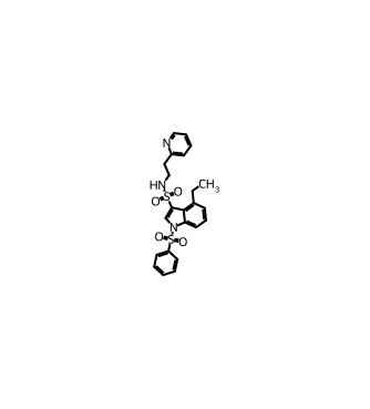 CCc1cccc2c1c(S(=O)(=O)NCCc1ccccn1)cn2S(=O)(=O)c1ccccc1